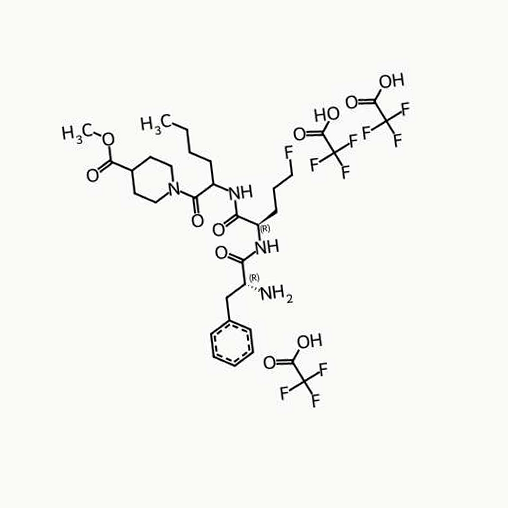 CCCCC(NC(=O)[C@@H](CCCF)NC(=O)[C@H](N)Cc1ccccc1)C(=O)N1CCC(C(=O)OC)CC1.O=C(O)C(F)(F)F.O=C(O)C(F)(F)F.O=C(O)C(F)(F)F